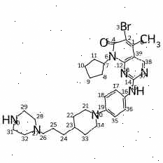 Cc1c(Br)c(=O)n(C2CCCC2)c2nc(Nc3ccc(N4CCC(CCCN5CCNCC5)CC4)cc3)ncc12